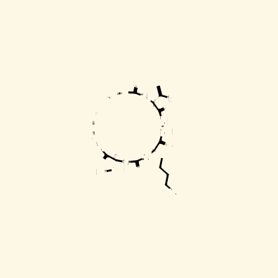 C=C(CC)[C@@H]1NC(=O)COCCOCCNC(=O)[C@@H](CO)NC(=O)N[C@@H](CCCCN)C(=O)NNC1=O